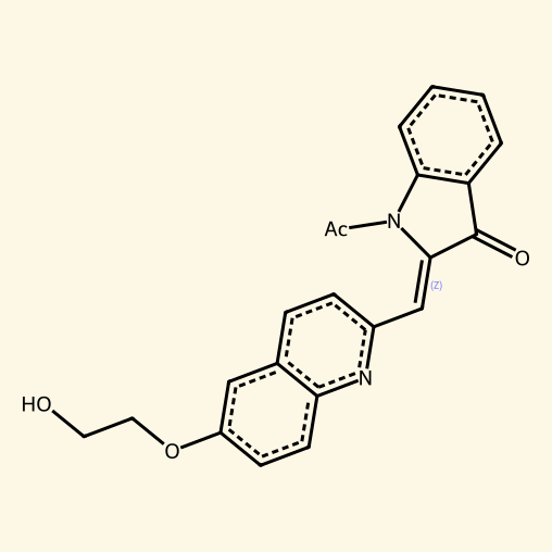 CC(=O)N1/C(=C\c2ccc3cc(OCCO)ccc3n2)C(=O)c2ccccc21